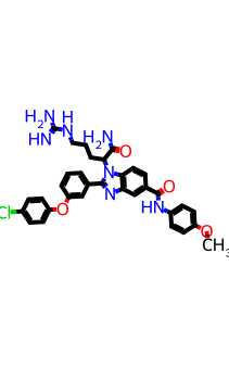 COc1ccc(NC(=O)c2ccc3c(c2)nc(-c2cccc(Oc4ccc(Cl)cc4)c2)n3C(CCCNC(=N)N)C(N)=O)cc1